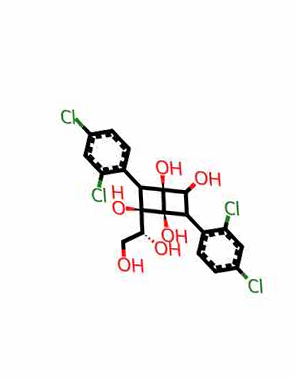 OC[C@@H](O)[C@]1(O)C(c2ccc(Cl)cc2Cl)[C@]2(O)C(O)C(c3ccc(Cl)cc3Cl)[C@@]21O